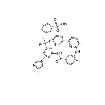 Cc1cn(-c2cc(NC(=O)c3ccc(C)c(Nc4nccc(-c5cccnc5)n4)c3)cc(C(F)(F)F)c2)cn1.O=S(=O)(O)c1ccccc1